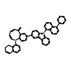 C=C1/C=C\C=C/N(c2cccc3c2CCC=C3)c2ccc(-c3ccc4c(c3)c3ccccc3n4-c3cccc4c(-c5ccccc5)cccc34)cc21